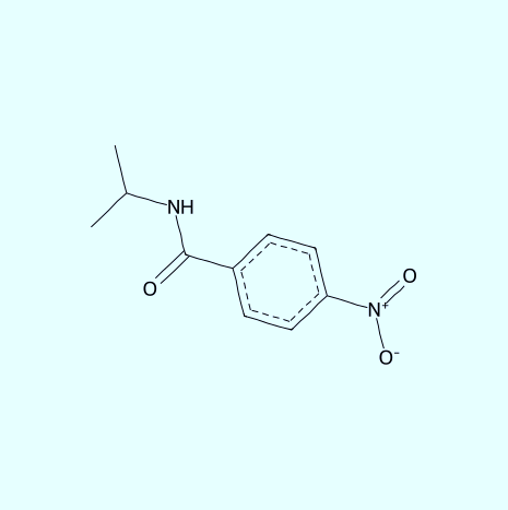 CC(C)NC(=O)c1ccc([N+](=O)[O-])cc1